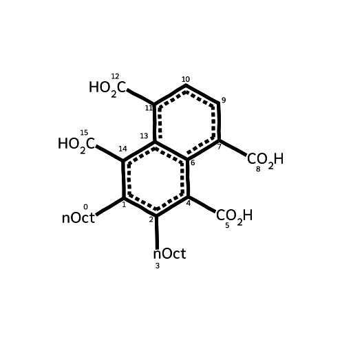 CCCCCCCCc1c(CCCCCCCC)c(C(=O)O)c2c(C(=O)O)ccc(C(=O)O)c2c1C(=O)O